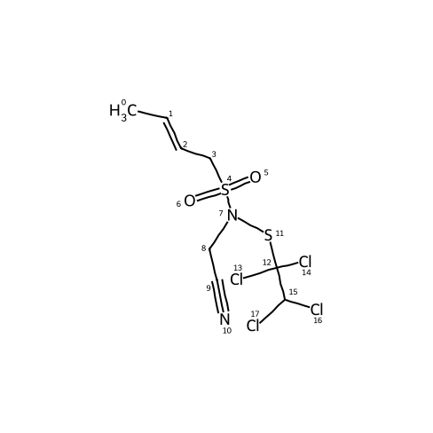 CC=CCS(=O)(=O)N(CC#N)SC(Cl)(Cl)C(Cl)Cl